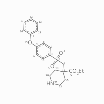 CCOC(=O)C1(CS(=O)(=O)c2ccc(Oc3ccccc3)cc2)CCNCC1